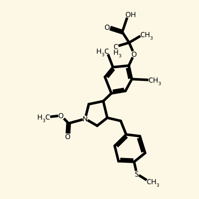 COC(=O)N1CC(Cc2ccc(SC)cc2)C(c2cc(C)c(OC(C)(C)C(=O)O)c(C)c2)C1